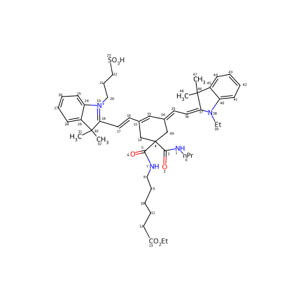 CCCNC(=O)C1(C(=O)NCCCCCC(=O)OCC)CC(/C=C/C2=[N+](CCCS(=O)(=O)O)c3ccccc3C2(C)C)=CC(=C/C=C2/N(CC)c3ccccc3C2(C)C)/C1